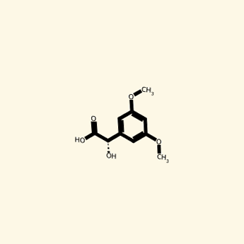 COc1cc(OC)cc([C@H](O)C(=O)O)c1